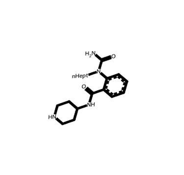 CCCCCCCN(C(N)=O)c1ccccc1C(=O)NC1CCNCC1